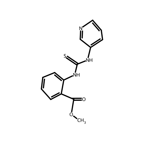 COC(=O)c1ccccc1NC(=S)Nc1cccnc1